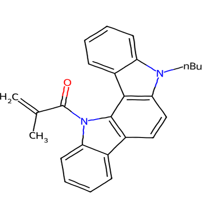 C=C(C)C(=O)n1c2ccccc2c2ccc3c(c4ccccc4n3CCCC)c21